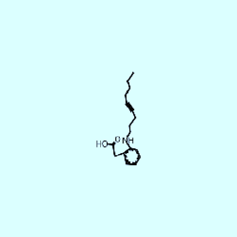 CCCCC#CCCCNc1ccccc1CC(=O)O